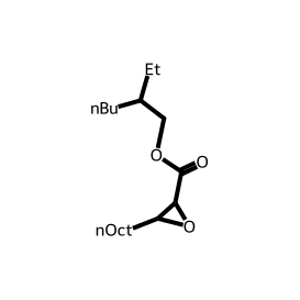 CCCCCCCCC1OC1C(=O)OCC(CC)CCCC